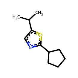 CC(C)c1cnc(C2CCCC2)s1